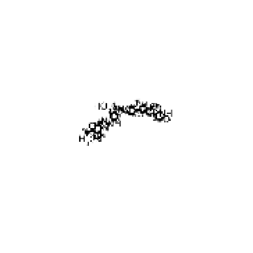 Cn1ncc(-c2nc(N[C@H]3CC[C@H](N(CCN4CCC(c5cc6c(cc5F)C(=O)N(C5CCC(=O)NC5=O)C6)CC4)C(=O)O)CC3)ncc2Cl)c1CC1CC1